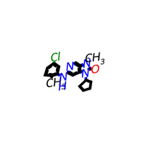 Cc1ccc(Cl)cc1Nc1cc2c(cn1)n(C)c(=O)n2C1CCCC1